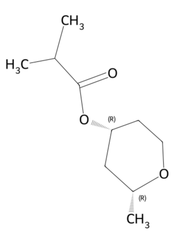 CC(C)C(=O)O[C@@H]1CCO[C@H](C)C1